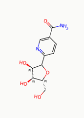 NC(=O)c1ccc(C2O[C@H](CO)[C@@H](O)[C@H]2O)nc1